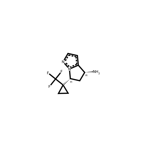 N[C@@H]1C[C@H](C2(C(F)(F)F)CC2)n2nccc21